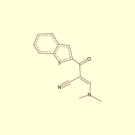 CN(C)/C=C(\C#N)C(=O)c1cc2ccccc2s1